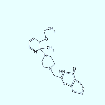 CCOC1C=CC=NC1(C)N1CCN(Cc2nc3ccccc3c(=O)[nH]2)CC1